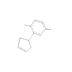 O=C(O)c1ccc([N+](=O)[O-])cc1C1CC=CC1